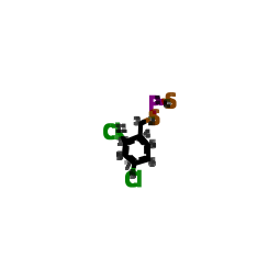 S=PSCc1ccc(Cl)cc1Cl